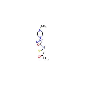 CCN1CCN([n+]2cc([N-]C(=S)CC(C)=O)on2)CC1